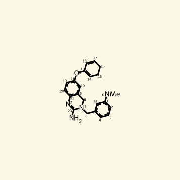 CNc1cccc(CN2Cc3cc(OC4=CCCC=C4)ccc3N=C2N)c1